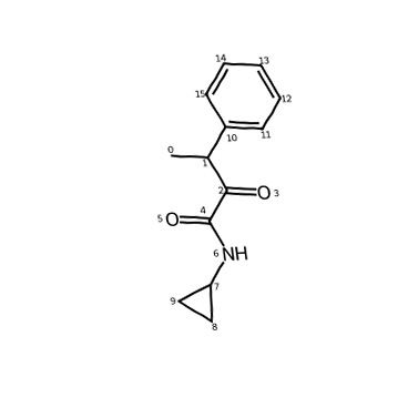 CC(C(=O)C(=O)NC1CC1)c1ccccc1